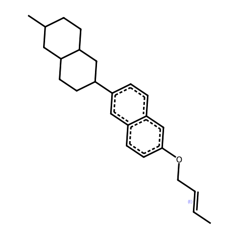 C/C=C/COc1ccc2cc(C3CCC4CC(C)CCC4C3)ccc2c1